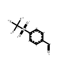 O=[C]c1ccc(S(=O)(=O)C(F)(F)F)cc1